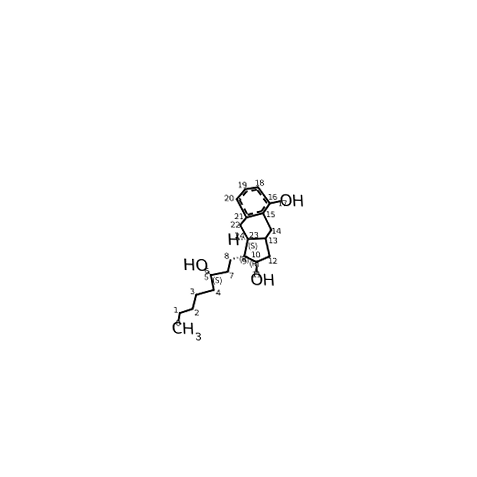 CCCCC[C@H](O)CC[C@H]1[C@H](O)CC2Cc3c(O)cccc3C[C@@H]21